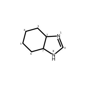 C1=NC2CCCCC2N1